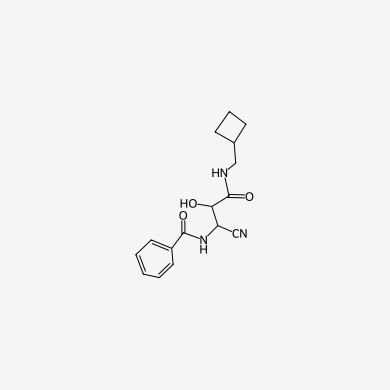 N#CC(NC(=O)c1ccccc1)C(O)C(=O)NCC1CCC1